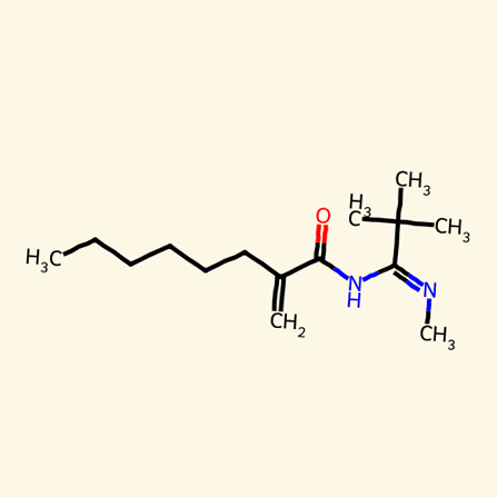 C=C(CCCCCC)C(=O)N/C(=N\C)C(C)(C)C